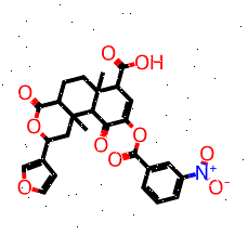 CC12CCC3C(=O)OC(c4ccoc4)CC3(C)C1C(=O)C(OC(=O)c1cccc([N+](=O)[O-])c1)=CC2C(=O)O